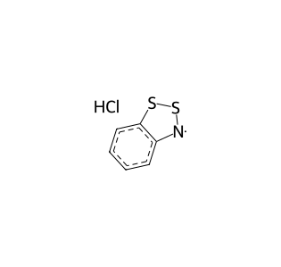 Cl.c1ccc2c(c1)[N]SS2